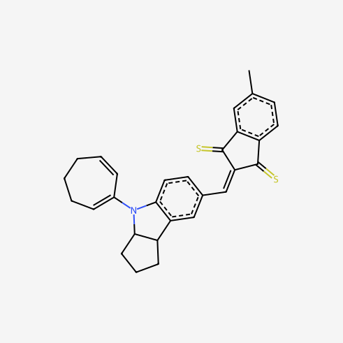 Cc1ccc2c(c1)C(=S)/C(=C\c1ccc3c(c1)C1CCCC1N3C1=CCCCC=C1)C2=S